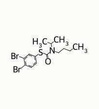 CCCCN(C(=O)Sc1ccc(Br)c(Br)c1)C(C)C